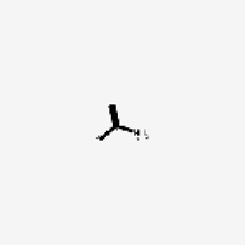 [CH]=C(C)N